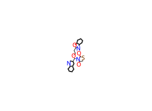 O=C1CSC(=O)N1C(OCCc1nc2ccccc2o1)c1cnc2ccccc2c1